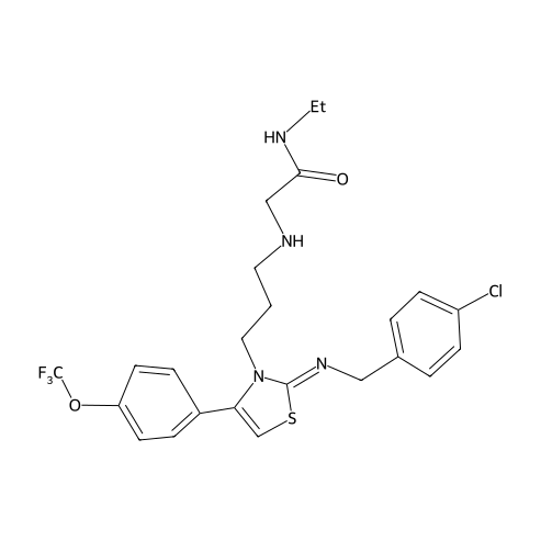 CCNC(=O)CNCCCn1c(-c2ccc(OC(F)(F)F)cc2)csc1=NCc1ccc(Cl)cc1